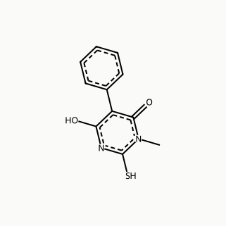 Cn1c(S)nc(O)c(-c2ccccc2)c1=O